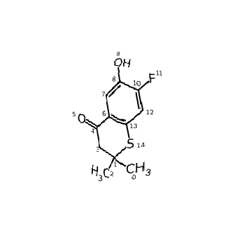 CC1(C)CC(=O)c2cc(O)c(F)cc2S1